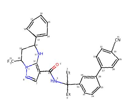 CCC(CC)(NC(=O)c1cnn2c1NC(c1ccccc1)CC2C(F)(F)F)c1cccc(-c2ccc(C#N)cc2)c1